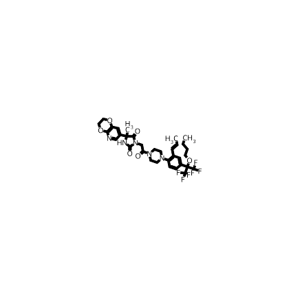 CC=Cc1cc(C(OCCCC)(C(F)(F)F)C(F)(F)F)ccc1N1CCN(C(=O)CN2C(=O)NC(C)(c3cnc4c(c3)OCCO4)C2=O)CC1